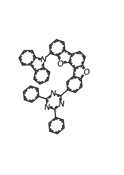 c1ccc(-c2nc(-c3ccccc3)nc(-c3ccc4oc5ccc6c7cccc(-n8c9ccccc9c9ccccc98)c7oc6c5c4c3)n2)cc1